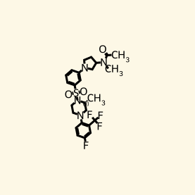 CC(=O)N(C)C1CCN(c2cccc(S(=O)(=O)N3CCN(c4ccc(F)cc4C(F)(F)F)C[C@H]3C)c2)C1